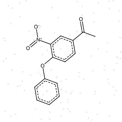 CC(=O)c1ccc(Oc2ccccc2)c([N+](=O)[O-])c1